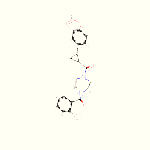 O=C(c1ccccc1C(F)(F)F)N1CCN(C(=O)C2CC2c2ccc3c(c2)OCO3)CC1